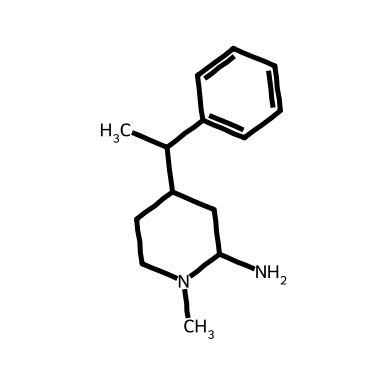 CC(c1ccccc1)C1CCN(C)C(N)C1